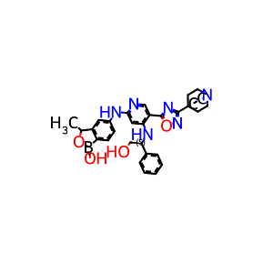 CC1OB(O)c2ccc(Nc3cc(N[C@H](CO)c4ccccc4)c(-c4nc(C56CCN(CC5)CC6)no4)cn3)cc21